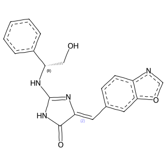 O=C1NC(N[C@@H](CO)c2ccccc2)=N/C1=C\c1ccc2ncoc2c1